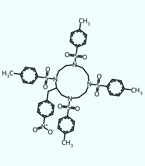 Cc1ccc(S(=O)(=O)N2CCN(S(=O)(=O)c3ccc(C)cc3)CCN(S(=O)(=O)c3ccc(C)cc3)C(Cc3ccc([N+](=O)[O-])cc3)CN(S(=O)(=O)c3ccc(C)cc3)CC2)cc1